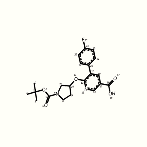 CC(C)(C)OC(=O)N1CCC(Oc2ncc(C(=O)O)cc2-c2ccc(F)cc2)C1